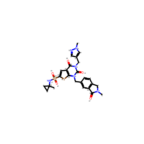 CN1Cc2ccc(Cn3c(=O)n(Cc4cnn(C)c4)c(=O)c4cc(S(=O)(=O)NC5(C)CC5)sc43)cc2C1=O